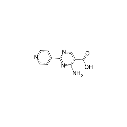 Nc1nc(-c2ccncc2)ncc1C(=O)O